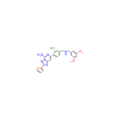 COc1cc(CNCc2ccc(-c3cc4nc(-c5ccco5)nn4c(N)n3)cc2)cc(OC)c1.Cl